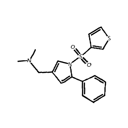 CN(C)Cc1cc(-c2ccccc2)n(S(=O)(=O)c2ccsc2)c1